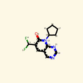 O=c1c(C(F)F)cc2cncnc2n1C1CCCC1